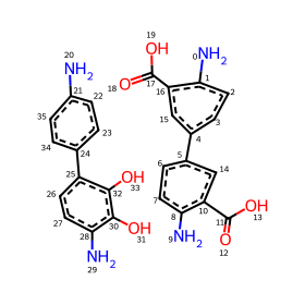 Nc1ccc(-c2ccc(N)c(C(=O)O)c2)cc1C(=O)O.Nc1ccc(-c2ccc(N)c(O)c2O)cc1